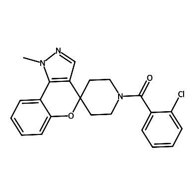 Cn1ncc2c1-c1ccccc1OC21CCN(C(=O)c2ccccc2Cl)CC1